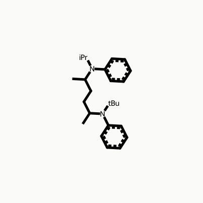 CC(C)N(c1ccccc1)C(C)CCC(C)N(c1ccccc1)C(C)(C)C